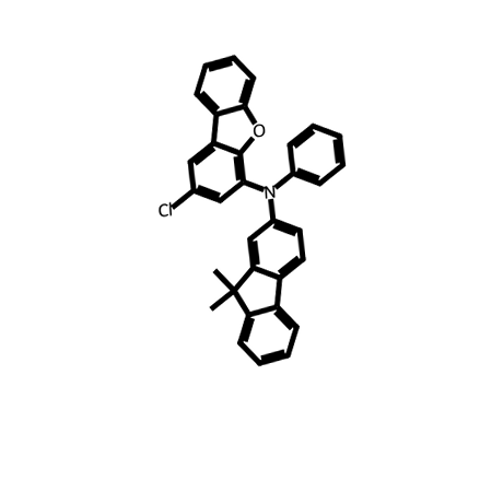 CC1(C)c2ccccc2-c2ccc(N(c3ccccc3)c3cc(Cl)cc4c3oc3ccccc34)cc21